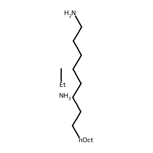 CCC.CCCCCCCCCCCCCCCCN.N